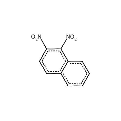 O=[N+]([O-])c1ccc2[c]cccc2c1[N+](=O)[O-]